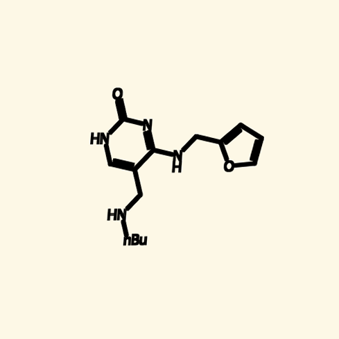 CCCCNCc1c[nH]c(=O)nc1NCc1ccco1